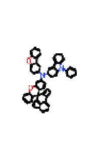 c1ccc(-n2c3ccccc3c3cc(N(c4ccc5c(c4)Oc4ccccc4C54c5ccccc5-c5cccc6cccc4c56)c4ccc5oc6ccccc6c5c4)ccc32)cc1